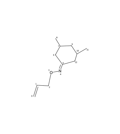 C=CCON=C1CC(C)CC(C)C1